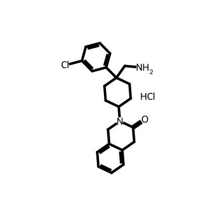 Cl.NCC1(c2cccc(Cl)c2)CCC(N2Cc3ccccc3CC2=O)CC1